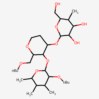 CCCCOCC1OCCC(OC2OC(CO)C(C)C(O)C2O)C1OC1OC(C)C(C)C(C)C1OCCCC